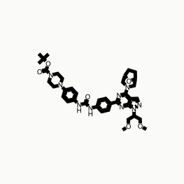 COCC(COC)n1ncc2c(N3CC4CCC(C3)O4)nc(-c3ccc(NC(=O)Nc4ccc(N5CCN(C(=O)OC(C)(C)C)CC5)cc4)cc3)nc21